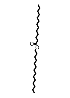 CCCCCCCCCCCCCCOC(=O)CCCCCCCCCCCC